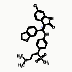 CN(C)CCN(c1ccc(N/C(=C2\C(=O)Nc3cc(Cl)ccc32)c2ccc3c(c2)OCC3)cc1)S(C)(=O)=O